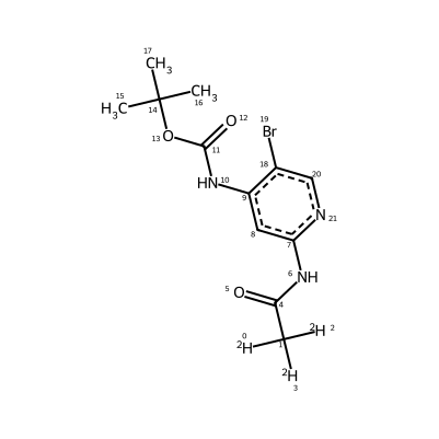 [2H]C([2H])([2H])C(=O)Nc1cc(NC(=O)OC(C)(C)C)c(Br)cn1